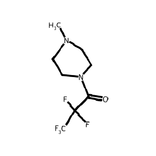 CN1CCN(C(=O)C(F)(F)C(F)(F)F)CC1